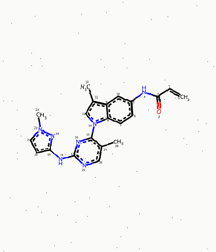 C=CC(=O)Nc1ccc2c(c1)c(C)cn2-c1nc(Nc2ccn(C)n2)ncc1C